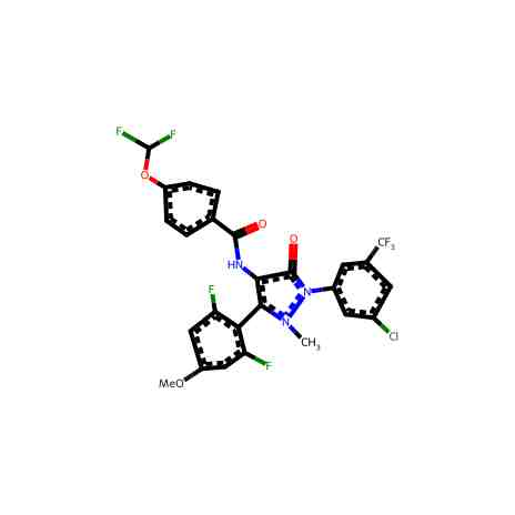 COc1cc(F)c(-c2c(NC(=O)c3ccc(OC(F)F)cc3)c(=O)n(-c3cc(Cl)cc(C(F)(F)F)c3)n2C)c(F)c1